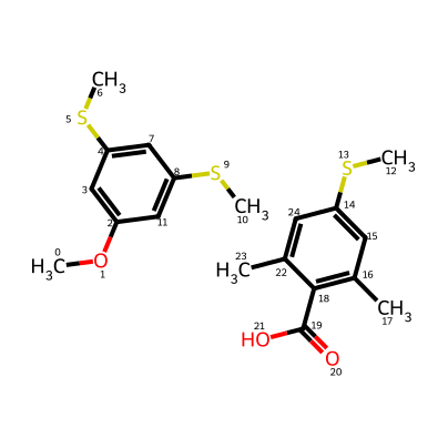 COc1cc(SC)cc(SC)c1.CSc1cc(C)c(C(=O)O)c(C)c1